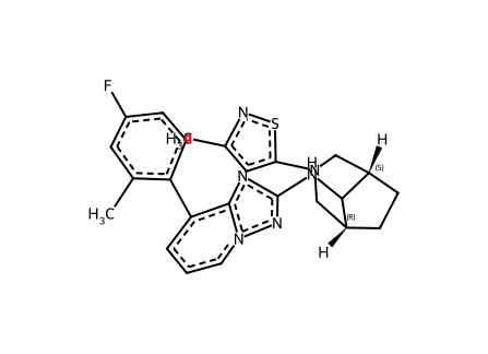 Cc1cc(N2C[C@H]3CC[C@@H](C2)C3Nc2nc3c(-c4ccc(F)cc4C)cccn3n2)sn1